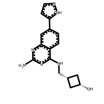 Nc1nc(NC[C@H]2C[C@@H](O)C2)c2ccc(-c3ccn[nH]3)cc2n1